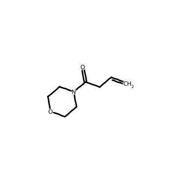 C=CCC(=O)N1CCOCC1